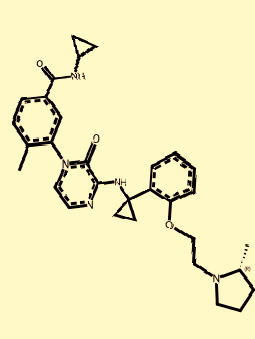 Cc1ccc(C(=O)NC2CC2)cc1-n1ccnc(NC2(c3ccccc3OCCN3CCC[C@H]3C)CC2)c1=O